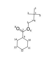 CC(C)(C)[CH]COC(=O)C1CCCCC1